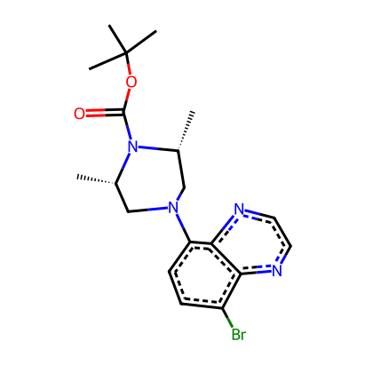 C[C@@H]1CN(c2ccc(Br)c3nccnc23)C[C@H](C)N1C(=O)OC(C)(C)C